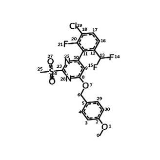 COc1ccc(COc2cc(-c3c(C(F)F)ccc(Cl)c3F)nc(S(C)(=O)=O)n2)cc1